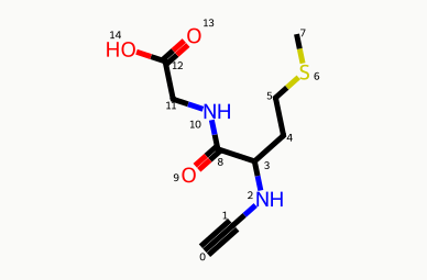 C#CNC(CCSC)C(=O)NCC(=O)O